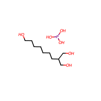 OCCCCCCCC(CO)CO.OP(O)O